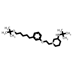 CC(C)(C)NC1CCCN(CCOc2cccc(CCCCCOC(C)(C)C)c2)C1